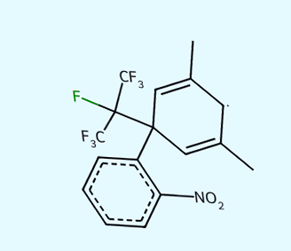 CC1=CC(c2ccccc2[N+](=O)[O-])(C(F)(C(F)(F)F)C(F)(F)F)C=C(C)[CH]1